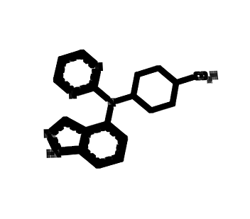 O=C(O)C1CCC(N(c2ncccn2)c2cccc3[nH]ncc23)CC1